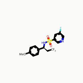 COc1ccc([C@H](CC(F)(F)F)NS(=O)(=O)c2cncc(F)c2)cc1